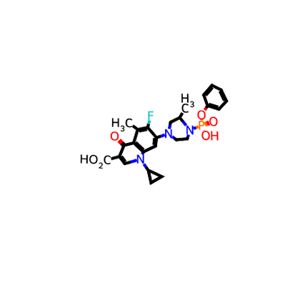 Cc1c(F)c(N2CCN(P(=O)(O)Oc3ccccc3)C(C)C2)cc2c1c(=O)c(C(=O)O)cn2C1CC1